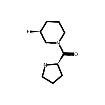 O=C([C@H]1CCCN1)N1CCC[C@H](F)C1